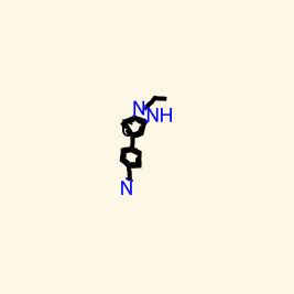 CCc1nc2ccc(-c3ccc(C#N)cc3)cc2[nH]1